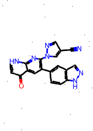 N#Cc1cnn(-c2nc3[nH]ccc(=O)c3cc2-c2ccc3[nH]ncc3c2)c1